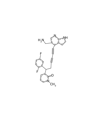 Cn1cccc(C(CC#CC#Cc2c(CN)cnc3[nH]ccc23)c2cc(F)ccc2F)c1=O